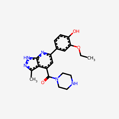 CCOc1cc(-c2cc(C(=O)N3CCNCC3)c3c(C)n[nH]c3n2)ccc1O